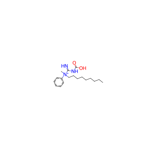 CCCCCCCCC[N+](C)(C(=N)NC(=O)O)c1ccccc1